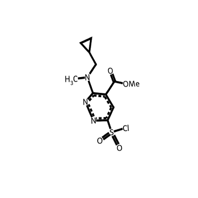 COC(=O)c1cc(S(=O)(=O)Cl)nnc1N(C)CC1CC1